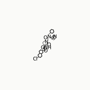 O=C1[C@@H](NS(=O)(=O)c2ccc3cc(Cl)ccc3c2)CCCN1CC(=O)N(Cc1ccccc1)C1CN2CCC1CC2